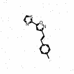 Cc1ccc(/C=C/c2cc(-c3nccs3)on2)cc1